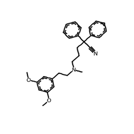 COc1cc(CCN(C)CCCC(C#N)(c2ccccc2)c2ccccc2)cc(OC)c1